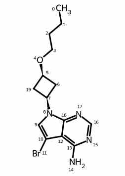 CCCCO[C@H]1C[C@@H](n2cc(Br)c3c(N)ncnc32)C1